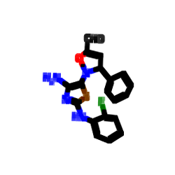 Nc1nc(Nc2ccccc2F)sc1N1OC(C=O)=CC1c1ccccc1